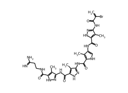 C=C(Br)C(=O)Nc1n[nH]c(C(=O)Nc2c[nH]c(C(=O)Nc3n[nH]c(C(=O)Nc4n[nH]c(C(=O)NCCC(=N)N)c4C)c3C)c2C)c1C